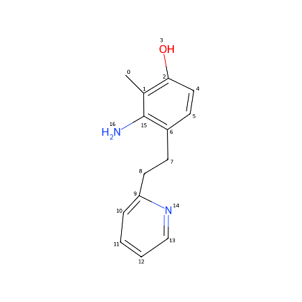 Cc1c(O)ccc(CCc2ccccn2)c1N